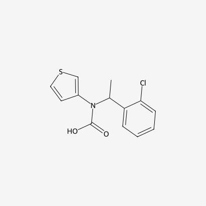 CC(c1ccccc1Cl)N(C(=O)O)c1ccsc1